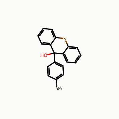 CCCc1ccc(C2(O)c3ccccc3Sc3ccccc32)cc1